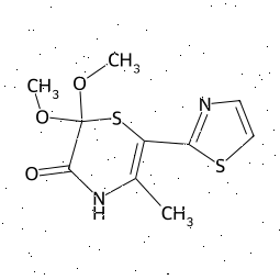 COC1(OC)SC(c2nccs2)=C(C)NC1=O